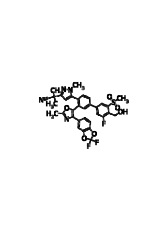 Cc1nc(-c2ccc3c(c2)OC(F)(F)O3)c(-c2cc(-c3cc(F)c(CO)c(S(C)(=O)=O)c3)ccc2-c2cc(C(C)(C)C#N)nn2C)o1